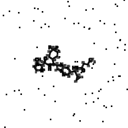 Cn1ccnc1C(=O)N[C@H](c1cn2ncc([C@H](NC(=O)CCC(F)(F)F)C3CC3)cc2n1)C1CCC(F)(F)CC1